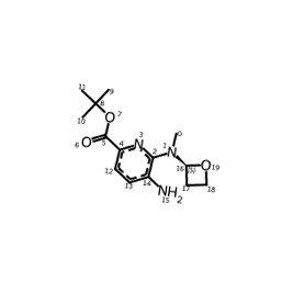 CN(c1nc(C(=O)OC(C)(C)C)ccc1N)[C@@H]1CCO1